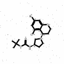 CC(C)(C)OC(=O)N[C@@H]1CCN([C@@H]2CCOc3cc(Br)cc(Cl)c32)C1